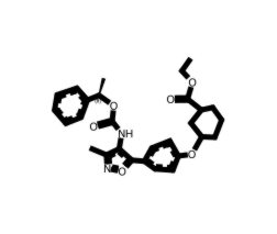 CCOC(=O)C1CCCC(Oc2ccc(-c3onc(C)c3NC(=O)O[C@H](C)c3ccccc3)cc2)C1